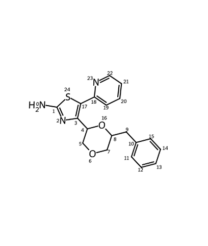 Nc1nc(C2COCC(Cc3ccccc3)O2)c(-c2ccccn2)s1